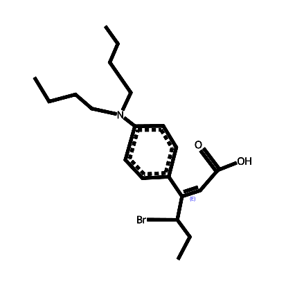 CCCCN(CCCC)c1ccc(/C(=C\C(=O)O)C(Br)CC)cc1